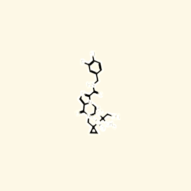 CC(C)(CO)S(=O)(=O)C1(CN2CCn3c(cnc3C(=O)NCc3ccc(Cl)c(F)c3)C2=O)CC1